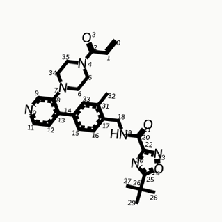 C=CC(=O)N1CCN(c2cnccc2-c2ccc(CNC(=O)c3noc(C(C)(C)C)n3)c(C)c2)CC1